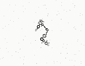 Cc1c(C#Cc2cnn(CCCN3CCN(c4cccc5c4CN(C4CCC(=O)NC4=O)C5=O)CC3)c2)sc2c1C(c1ccc(Cl)cc1)=NCc1nnc(C)n1-2